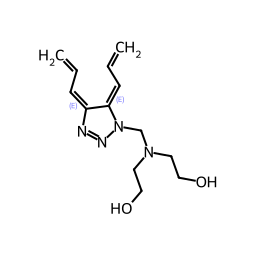 C=C/C=c1/nnn(CN(CCO)CCO)/c1=C/C=C